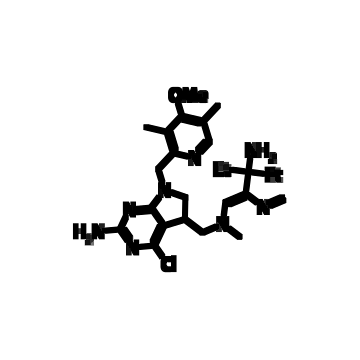 C=N/C(=C\N(C)CC1CN(Cc2ncc(C)c(OC)c2C)c2nc(N)nc(Cl)c21)C(N)(CC)CC